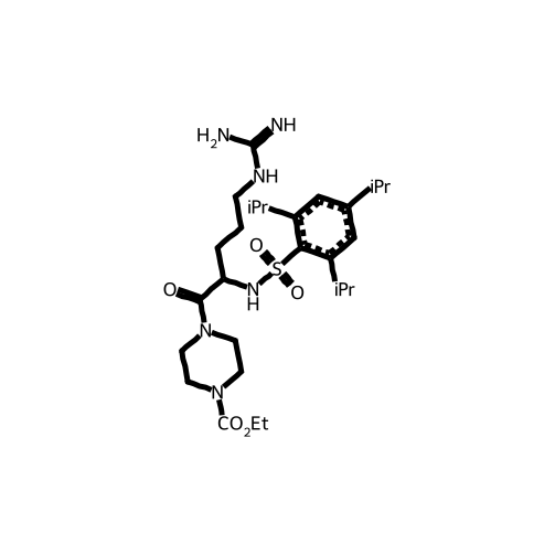 CCOC(=O)N1CCN(C(=O)C(CCCNC(=N)N)NS(=O)(=O)c2c(C(C)C)cc(C(C)C)cc2C(C)C)CC1